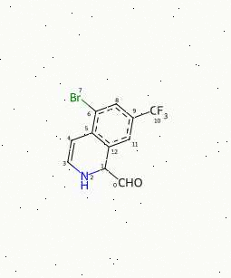 O=CC1NC=Cc2c(Br)cc(C(F)(F)F)cc21